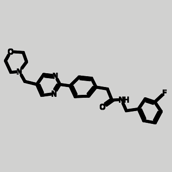 O=C(Cc1ccc(-c2ncc(CN3CCOCC3)cn2)cc1)NCc1cccc(F)c1